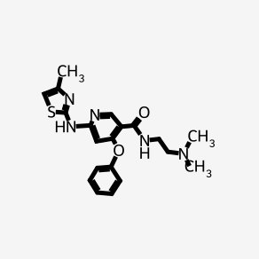 Cc1csc(Nc2cc(Oc3ccccc3)c(C(=O)NCCN(C)C)cn2)n1